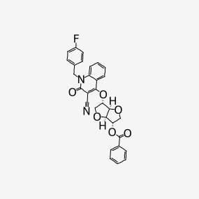 N#Cc1c(O[C@H]2CO[C@H]3[C@@H]2OC[C@@H]3OC(=O)c2ccccc2)c2ccccc2n(Cc2ccc(F)cc2)c1=O